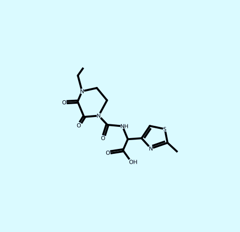 CCN1CCN(C(=O)NC(C(=O)O)c2csc(C)n2)C(=O)C1=O